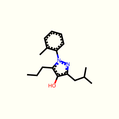 CCCc1c(O)c(CC(C)C)nn1-c1ccccc1C